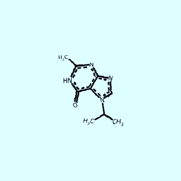 Cc1nc2ncn(C(C)C)c2c(=O)[nH]1